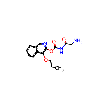 CCCOc1c(OC(=O)NC(=O)CN)ncc2ccccc12